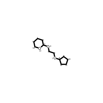 C1CCC(OCCOC2CCCC2)OC1